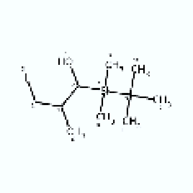 CC(CI)C(O)[Si](C)(C)C(C)(C)C